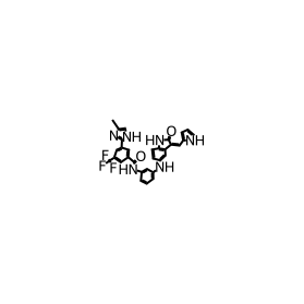 Cc1c[nH]c(-c2cc(C(=O)Nc3cccc(Nc4ccc5c(c4)C(=Cc4ccc[nH]4)C(=O)N5)c3)cc(C(F)(F)F)c2)n1